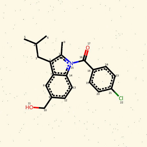 Cc1c(CC(C)C)c2cc(CO)ccc2n1C(=O)c1ccc(Cl)cc1